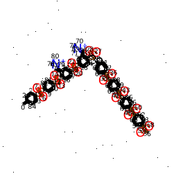 Cc1ccc(S(=O)(=O)c2ccc(S(=O)(=O)c3ccc(S(=O)(=O)c4ccc([S](=O)(=O)[Co][c]5ccc(S(=O)(=O)c6ccc(S(=O)(=O)c7ccc(S(=O)(=O)c8ccc(S(C)(=O)=O)cc8)cc7)cc6)cc5)c(C[N+](C)(C)C)c4)cc3C[N+](C)(C)C)cc2)cc1